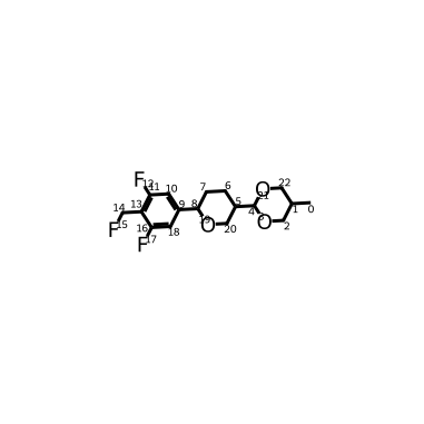 CC1COC(C2CCC(c3cc(F)c(CF)c(F)c3)OC2)OC1